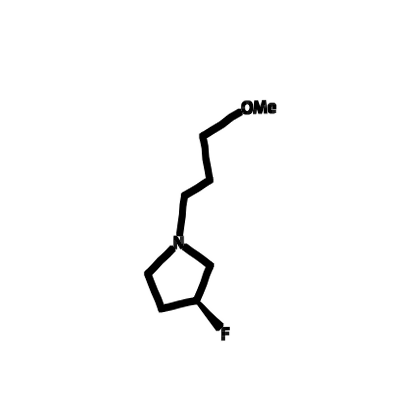 COCCCN1CC[C@H](F)C1